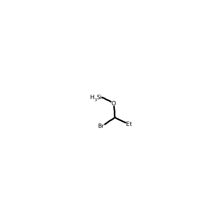 CCC(Br)O[SiH3]